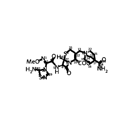 CON=C(C(=O)N[C@@H]1C(=O)N2C(C(=O)[O-])=C(C[N+]34CCC(C(N)=O)(CC3)CC4)CS[C@@H]12)N1C=NSC1N